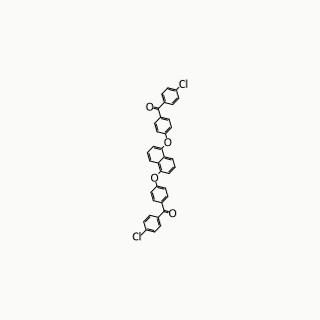 O=C(c1ccc(Cl)cc1)c1ccc(Oc2cccc3c(Oc4ccc(C(=O)c5ccc(Cl)cc5)cc4)cccc23)cc1